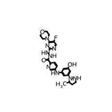 CC1CCNN1c1cc(O)cc(Nc2ccc(C(=O)NNc3ncc(F)c(N4CCOCC4)n3)nc2)c1